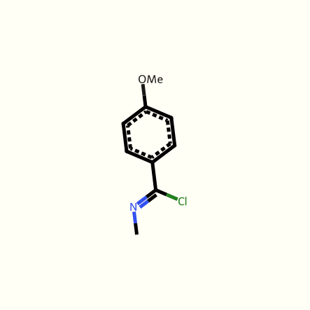 CN=C(Cl)c1ccc(OC)cc1